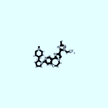 Cc1nc(-c2cn3c(n2)-c2cnc(N4CCCC4C4CCN(C)CC4)cc2OCC3)n(CC(F)(F)F)n1